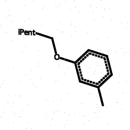 CCCC(C)COc1cccc(C)c1